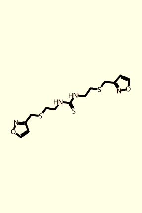 S=C(NCCSCc1ccon1)NCCSCc1ccon1